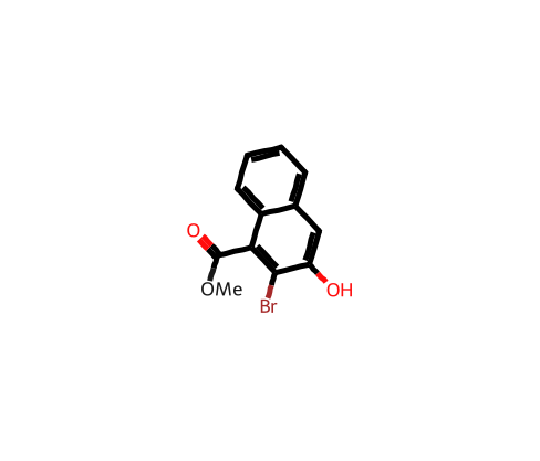 COC(=O)c1c(Br)c(O)cc2ccccc12